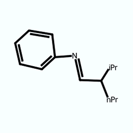 C[CH]CC(C=Nc1ccccc1)C(C)C